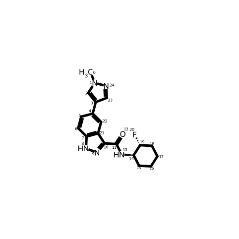 Cn1cc(-c2ccc3[nH]nc(C(=O)N[C@@H]4CCCC[C@H]4F)c3c2)cn1